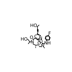 CC(O)C#Cc1cnc2c(c1)C(=O)N(C(C)CO)C[C@H](C)[C@H](CN(C)C(=O)Nc1ccc(F)cc1)O2